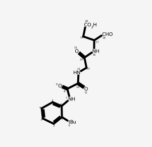 CC(C)(C)c1ccccc1NC(=O)C(=O)NCC(=O)NC(C=O)CC(=O)O